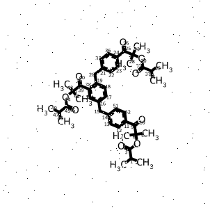 CC(C)C(=O)OC(C)(C)C(=O)c1ccc(Cc2ccc(Cc3ccc(C(=O)C(C)(C)OC(=O)C(C)C)cc3)c(C(=O)C(C)(C)OC(=O)C(C)C)c2)cc1